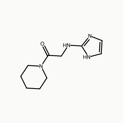 O=C(CNc1ncc[nH]1)N1CCCCC1